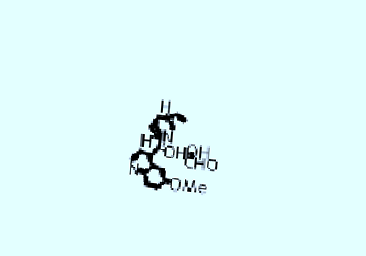 C=C[C@@H]1CN2CCC1C[C@@H]2[C@H](O)c1ccnc2ccc(OC)cc12.O=CO